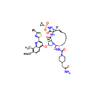 COc1ccc2c(O[C@@H]3C[C@H]4C(=O)N[C@]5(C(=O)NS(=O)(=O)C6CC6)C[C@H]5/C=C/CCCCC[C@H](NC(=O)N5CCC(CC(N)=O)CC5)C(=O)N4C3)cc(-c3nc(C(C)C)cs3)nc2c1C